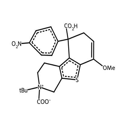 COC1=CCC(C(=O)O)(c2ccc([N+](=O)[O-])cc2)c2c1sc1c2CC[N+](C(=O)[O-])(C(C)(C)C)C1